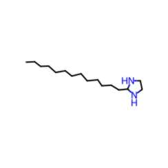 CCCCCCCCCCCCCC1NCCN1